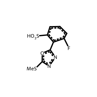 CSc1nnc(-c2c(F)cccc2S(=O)(=O)O)o1